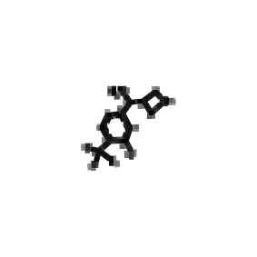 NC(c1ccc(C(F)(F)F)c(F)c1)C1COC1